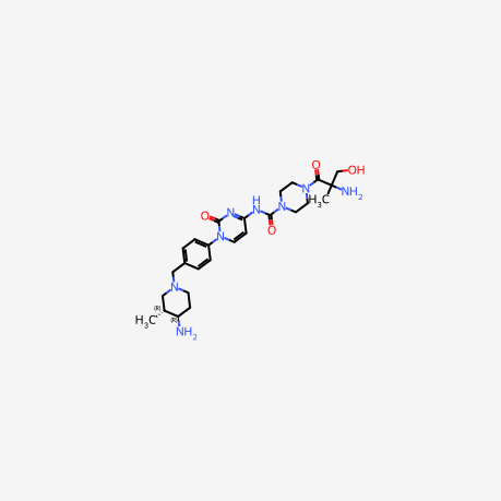 C[C@@H]1CN(Cc2ccc(-n3ccc(NC(=O)N4CCN(C(=O)C(C)(N)CO)CC4)nc3=O)cc2)CC[C@H]1N